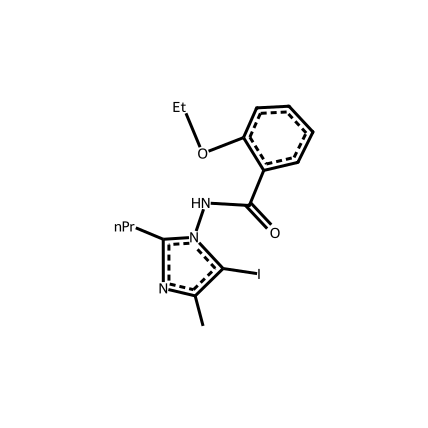 CCCc1nc(C)c(I)n1NC(=O)c1ccccc1OCC